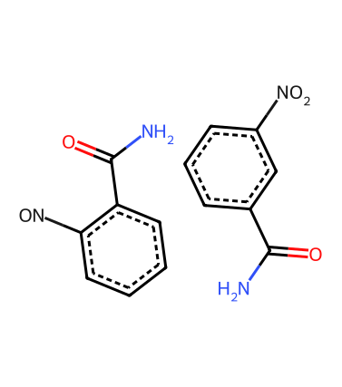 NC(=O)c1cccc([N+](=O)[O-])c1.NC(=O)c1ccccc1N=O